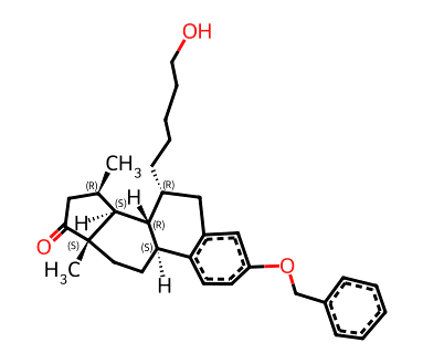 C[C@@H]1CC(=O)[C@@]2(C)CC[C@@H]3c4ccc(OCc5ccccc5)cc4C[C@@H](CCCCCO)[C@H]3[C@H]12